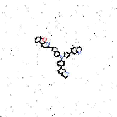 c1cnc2cc(-c3ccc(N(c4ccc(-c5ccc6cccnc6c5)cc4)c4ccc5cc(-c6ccc7c(n6)oc6ccccc67)ccc5c4)cc3)ccc2c1